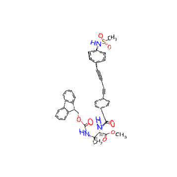 COC(=O)[C@@H](NC(=O)c1ccc(C#CC#Cc2ccc(NS(C)(=O)=O)cc2)cc1)[C@@H](C)NC(=O)OCC1c2ccccc2-c2ccccc21